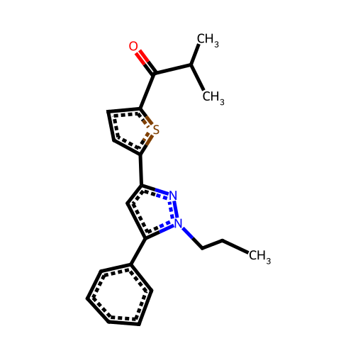 CCCn1nc(-c2ccc(C(=O)C(C)C)s2)cc1-c1ccccc1